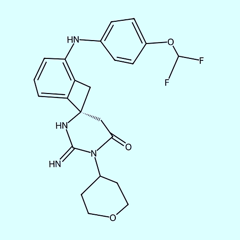 N=C1N[C@]2(CC(=O)N1C1CCOCC1)Cc1c(Nc3ccc(OC(F)F)cc3)cccc12